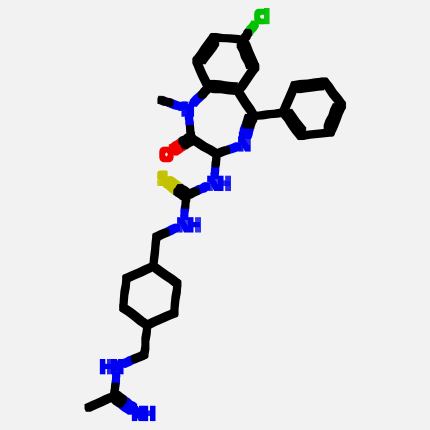 CC(=N)NCC1CCC(CNC(=S)NC2N=C(c3ccccc3)c3cc(Cl)ccc3N(C)C2=O)CC1